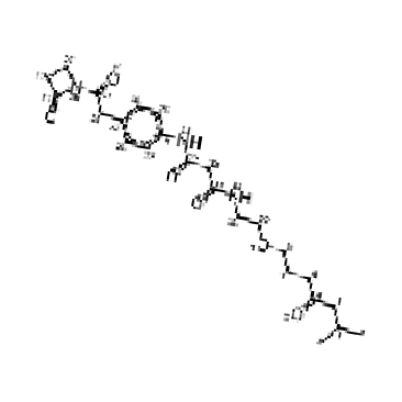 CC(C)CC(=O)CCCOCCNC(=O)CC(=O)Nc1ccc(CC(=O)N2CCC2=O)cc1